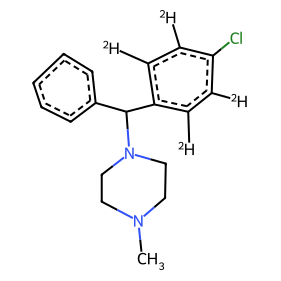 [2H]c1c([2H])c(C(c2ccccc2)N2CCN(C)CC2)c([2H])c([2H])c1Cl